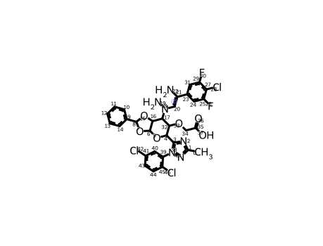 Cc1nc(C2OC3OC(c4ccccc4)OC3C(N(N)/C=C(\N)c3cc(F)c(Cl)c(F)c3)C2OCC(=O)O)n(-c2cc(Cl)ccc2Cl)n1